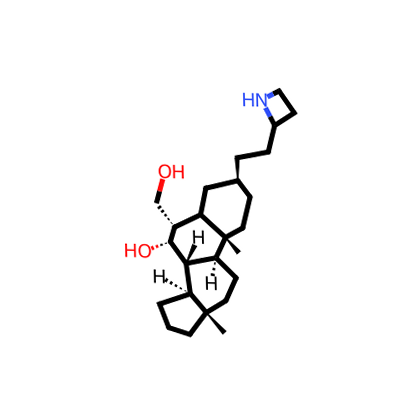 C[C@@]12CCC[C@H]1[C@@H]1[C@H](O)[C@H](CO)C3C[C@@H](CCC4CCN4)CC[C@]3(C)[C@H]1CC2